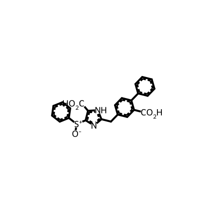 O=C(O)c1cc(Cc2nc([S+]([O-])c3ccccc3)c(C(=O)O)[nH]2)ccc1-c1ccccc1